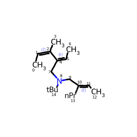 C/C=C(C)\C(=C/C)CN(C/C(=C/C)CCC)C(C)(C)C